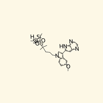 COc1ccc2c(c1)c(-c1cc3nccnc3[nH]1)cn2CCCC(C)(C)C(O[SiH2]C)O[SiH2]C